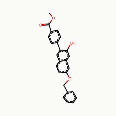 COC(=O)c1ccc(-c2cc3ccc(OCc4ccccc4)cc3cc2O)cc1